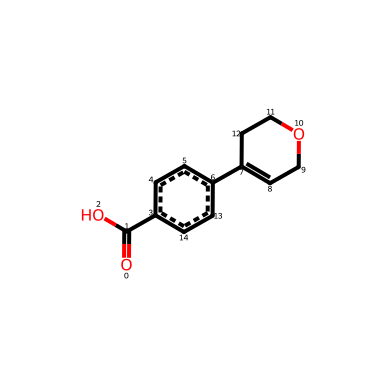 O=C(O)c1ccc(C2=CCOCC2)cc1